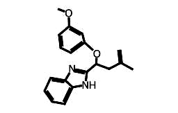 C=C(C)CC(Oc1cccc(OC)c1)c1nc2ccccc2[nH]1